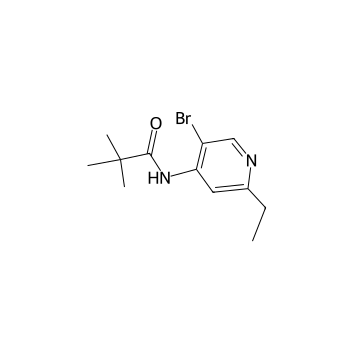 CCc1cc(NC(=O)C(C)(C)C)c(Br)cn1